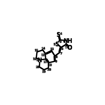 O=C1NC(=S)S/C1=C\c1cc2c3c(c1)CCCN3CCC2